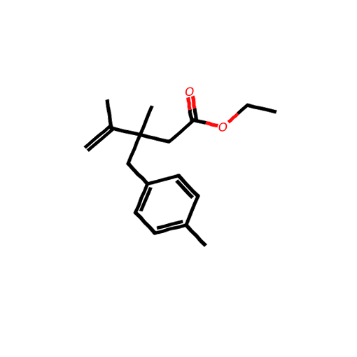 C=C(C)C(C)(CC(=O)OCC)Cc1ccc(C)cc1